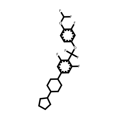 Fc1cc(OC(F)(F)c2c(F)cc(C3CCC(C4CCCC4)CC3)cc2F)ccc1OC(F)F